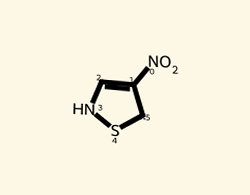 O=[N+]([O-])C1=CNS[C]1